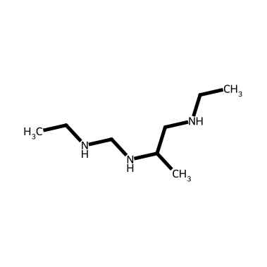 CCNCNC(C)CNCC